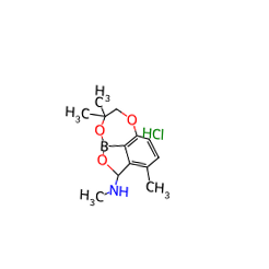 CNC1OB2OC(C)(C)COc3ccc(C)c1c32.Cl